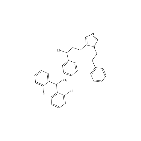 BC(c1ccccc1Cl)c1ccccc1Cl.CCC(CCc1cncn1CCc1ccccc1)c1ccccc1